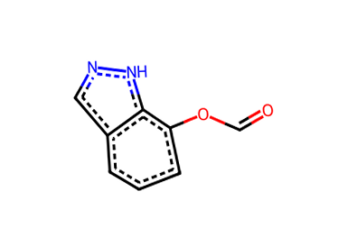 O=COc1cccc2cn[nH]c12